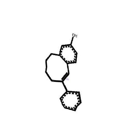 Oc1ccc2c(c1)CCCC/C(c1ccccc1)=C\2